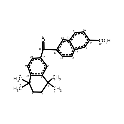 CC1(C)CCC(C)(C)c2cc(C(=O)c3ccc4cc(C(=O)O)ccc4c3)ccc21